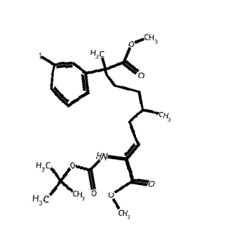 COC(=O)/C(=C/CC(C)CCC(C)(C(=O)OC)c1cccc(I)c1)NC(=O)OC(C)(C)C